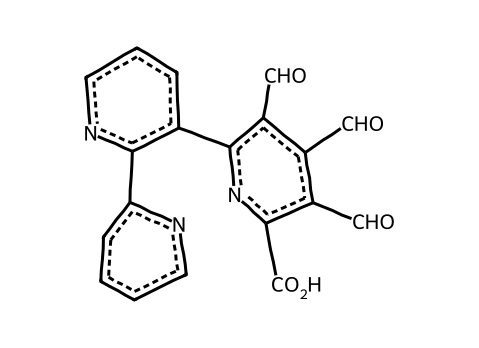 O=Cc1c(C(=O)O)nc(-c2cccnc2-c2ccccn2)c(C=O)c1C=O